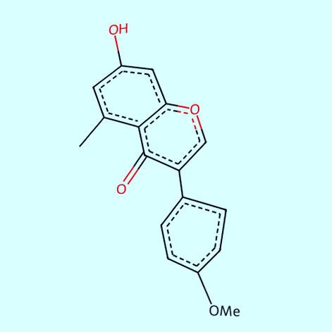 COc1ccc(-c2coc3cc(O)cc(C)c3c2=O)cc1